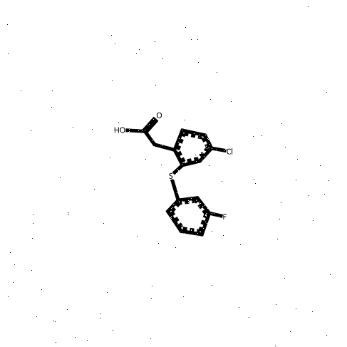 O=C(O)Cc1ccc(Cl)cc1Sc1cccc(F)c1